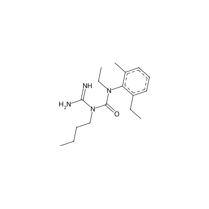 CCCCN(C(=N)N)C(=O)N(CC)c1c(C)cccc1CC